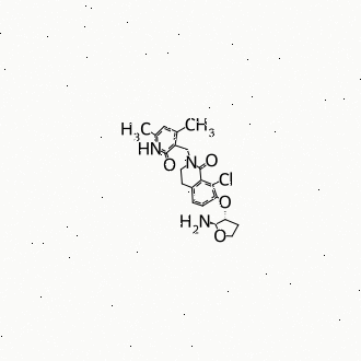 Cc1cc(C)c(CN2CCc3ccc(O[C@@H]4CCO[C@H]4N)c(Cl)c3C2=O)c(=O)[nH]1